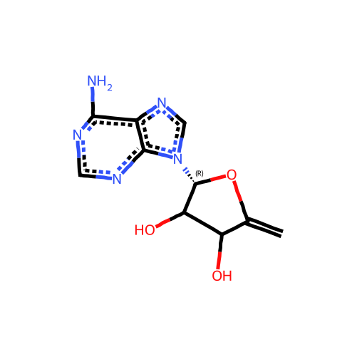 C=C1O[C@@H](n2cnc3c(N)ncnc32)C(O)C1O